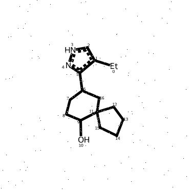 CCc1c[nH]nc1C1CCC(O)C2(CCCC2)C1